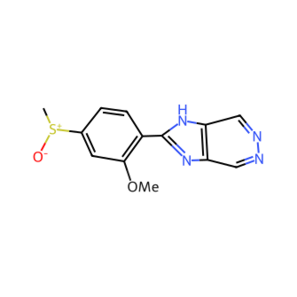 COc1cc([S+](C)[O-])ccc1-c1nc2cnncc2[nH]1